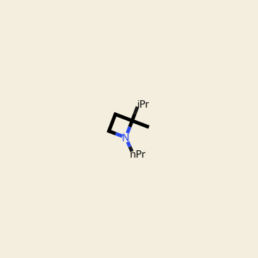 CCCN1CCC1(C)C(C)C